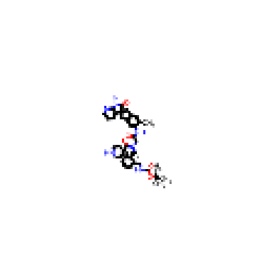 Cc1cc2c(cc1NC(=O)CN(Cc1ccccc1CNC(=O)OC(C)(C)C)C(=O)C1(C)CCNCC1)CC1(C2)C(=O)Nc2ncccc21